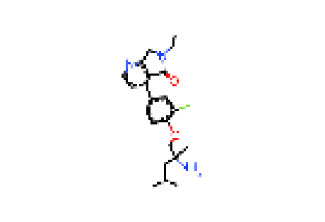 CCN1Cc2nccc(-c3ccc(OCC(C)(N)CC(C)C)c(F)c3)c2C1=O